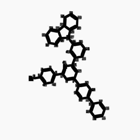 Brc1ccc(-c2cc(-c3ccc(-c4ccccc4)cc3)cc(-c3cccc(-n4c5ccccc5c5ccccc54)c3)n2)cc1